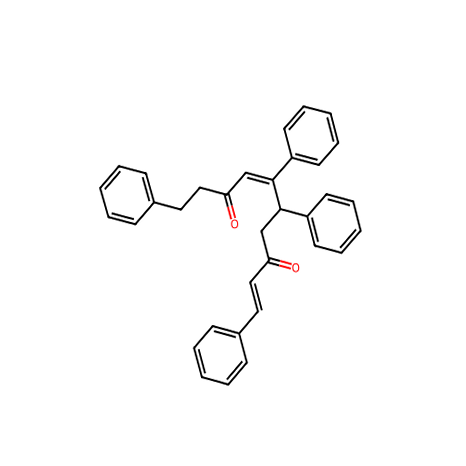 O=C(/C=C(/c1ccccc1)C(CC(=O)/C=C/c1ccccc1)c1ccccc1)CCc1ccccc1